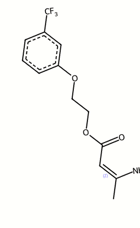 C/C(N)=C/C(=O)OCCOc1cccc(C(F)(F)F)c1